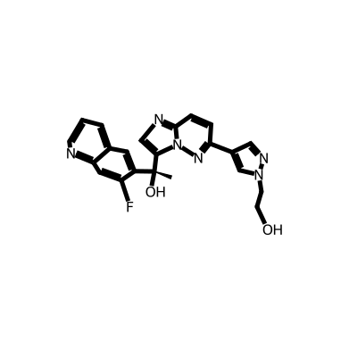 C[C@@](O)(c1cc2cccnc2cc1F)c1cnc2ccc(-c3cnn(CCO)c3)nn12